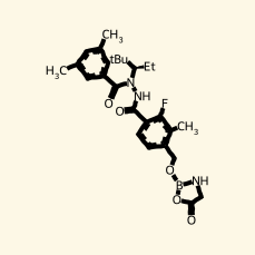 CC[C@@H](N(NC(=O)c1ccc(COB2NCC(=O)O2)c(C)c1F)C(=O)c1cc(C)cc(C)c1)C(C)(C)C